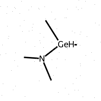 C[N](C)[GeH]([CH3])[CH3]